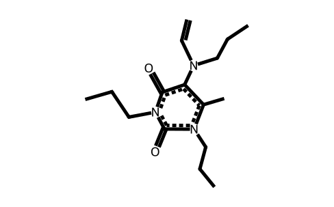 C=CN(CCC)c1c(C)n(CCC)c(=O)n(CCC)c1=O